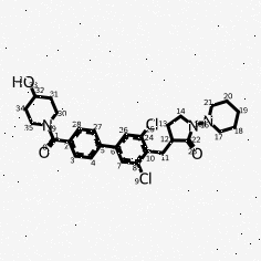 O=C(c1ccc(-c2cc(Cl)c(CC3CCN(N4CCCCC4)C3=O)c(Cl)c2)cc1)N1CCC(O)CC1